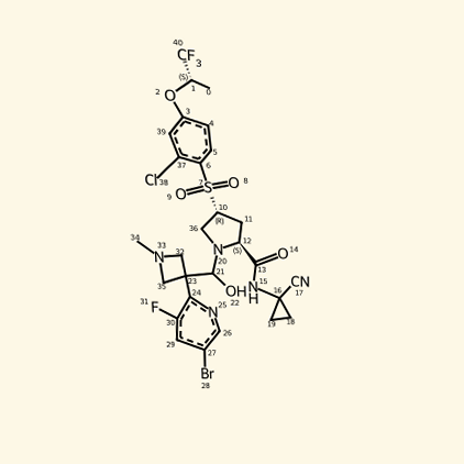 C[C@H](Oc1ccc(S(=O)(=O)[C@@H]2C[C@@H](C(=O)NC3(C#N)CC3)N(C(O)C3(c4ncc(Br)cc4F)CN(C)C3)C2)c(Cl)c1)C(F)(F)F